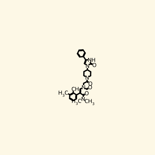 Cc1cccc(/C(=C/N(C=O)CC(=O)N2CCC(n3cc(-c4ccccc4)[nH]c3=O)CC2)C(=O)N(C)C)c1C